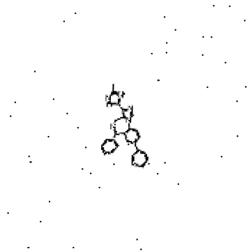 Cc1noc(-c2ncn3c2CN=C(c2ccccc2)c2cc(-c4ccccc4)ccc2-3)n1